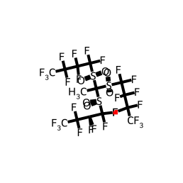 CC(S(=O)(=O)C(F)(F)C(F)(F)C(F)(F)C(F)(F)F)(S(=O)(=O)C(F)(F)C(F)(F)C(F)(F)C(F)(F)F)S(=O)(=O)C(F)(F)C(F)(F)C(F)(F)C(F)(F)F